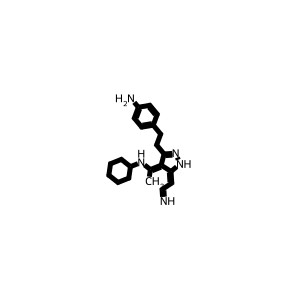 C/C(NC1CCCCC1)=c1/c(CCc2ccc(N)cc2)n[nH]/c1=C/C=N